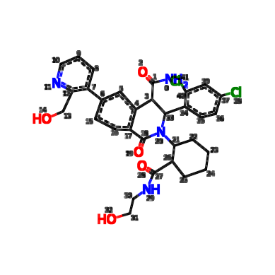 NC(=O)C1c2cc(-c3cccnc3CO)ccc2C(=O)N(C2CCCCC2C(=O)NCCO)C1c1ccc(Cl)cc1Cl